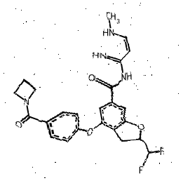 CN/C=C\C(=N)NC(=O)c1cc(Oc2ccc(C(=O)N3CCC3)cc2)c2c(c1)OC(C(F)F)C2